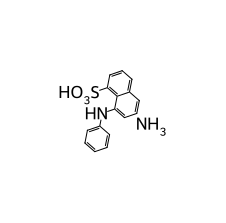 N.O=S(=O)(O)c1cccc2cccc(Nc3ccccc3)c12